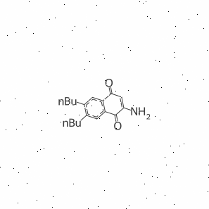 CCCCc1cc2c(cc1CCCC)C(=O)C(N)=CC2=O